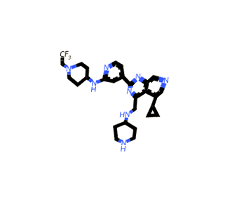 FC(F)(F)CN1CCC(Nc2cc(-c3nc(CNC4CCNCC4)c4c(C5CC5)cncc4n3)ccn2)CC1